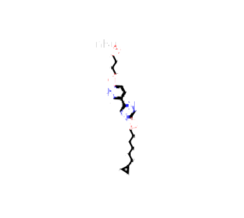 CCCCOCCCCOc1ccc(-c2cnc(OCCCCCCC3CC3)cn2)cn1